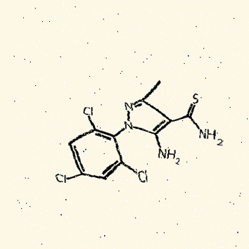 Cc1nn(-c2c(Cl)cc(Cl)cc2Cl)c(N)c1C(N)=S